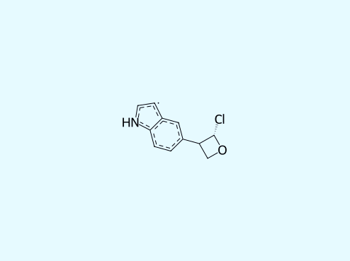 Cl[C@@H]1OCC1c1ccc2[nH]c[c]c2c1